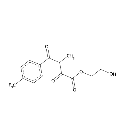 CC(C(=O)C(=O)OCCO)C(=O)c1ccc(C(F)(F)F)cc1